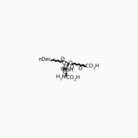 CCCCCCCCCCCCCCCC(=O)OC[C@H](COP(=O)(O)OC[C@H](N)C(=O)O)OC(=O)CCCC(=O)/C=C/C(=O)O